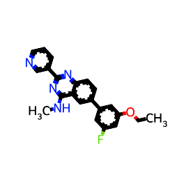 CCOc1cc(F)cc(-c2ccc3nc(-c4cccnc4)nc(NC)c3c2)c1